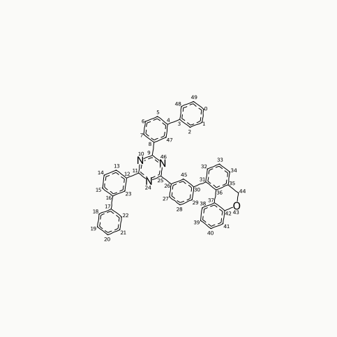 c1ccc(-c2cccc(-c3nc(-c4cccc(-c5ccccc5)c4)nc(-c4cccc(-c5cccc6c5-c5ccccc5OC6)c4)n3)c2)cc1